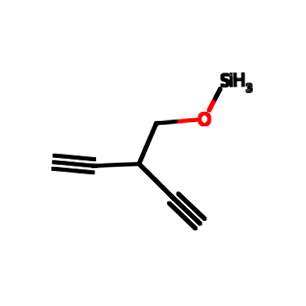 C#CC(C#C)CO[SiH3]